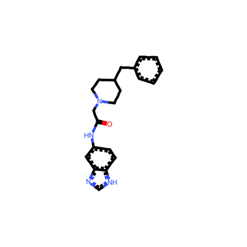 O=C(CN1CCC(Cc2ccccc2)CC1)Nc1ccc2[nH]cnc2c1